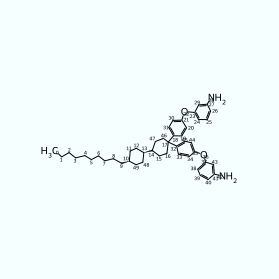 CCCCCCCCCC[C@H]1CC[C@@H](C2CCC(c3ccc(Oc4cccc(N)c4)cc3)(c3ccc(Oc4cccc(N)c4)cc3)CC2)CC1